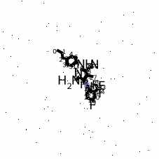 CCCc1ccc(Nc2nc(N)c(/N=N/c3ccc(F)cc3C(F)(F)F)c(C)c2C#N)cc1